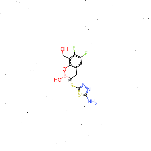 Nc1nnc(S[C@H]2Cc3cc(F)c(F)c(CO)c3OB2O)s1